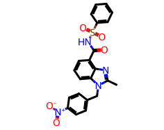 Cc1nc2c(C(=O)NS(=O)(=O)c3ccccc3)cccc2n1Cc1ccc([N+](=O)[O-])cc1